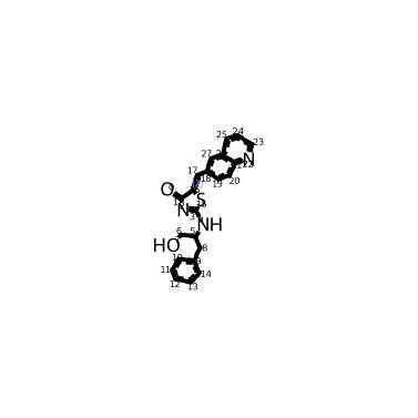 O=C1N=C(NC(CO)Cc2ccccc2)S/C1=C\c1ccc2ncccc2c1